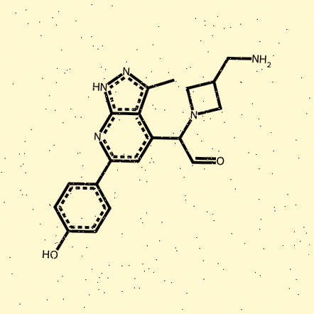 Cc1n[nH]c2nc(-c3ccc(O)cc3)cc(C(C=O)N3CC(CN)C3)c12